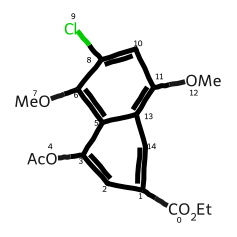 CCOC(=O)c1cc(OC(C)=O)c2c(OC)c(Cl)cc(OC)c2c1